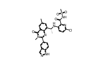 Cc1cc([C@@H](C)Nc2ccc(Cl)nc2C(=O)NS(C)(=O)=O)c2nc(-c3ccc4[nH]ncc4c3)n(C)c(=O)c2c1